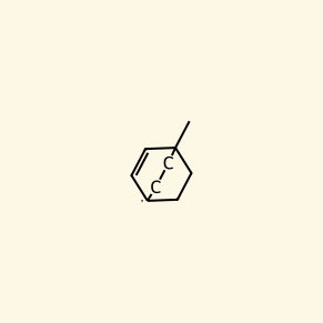 CC12C=C[C](CC1)CC2